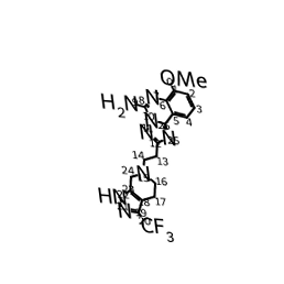 COc1cccc2c1nc(N)n1nc(CCN3CCc4c(C(F)(F)F)n[nH]c4C3)nc21